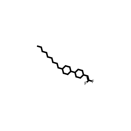 CCCCCCCCCC1CCC(C2CCC(C=C(F)F)CC2)CC1